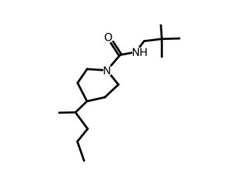 CCCC(C)C1CCN(C(=O)NCC(C)(C)C)CC1